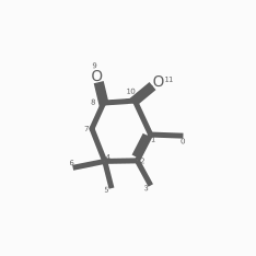 CC1=C(C)C(C)(C)CC(=O)C1=O